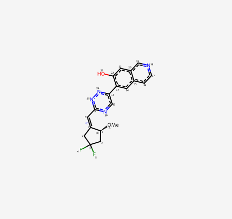 CO[C@H]1CC(F)(F)C/C1=C/c1ncc(-c2cc3ccncc3cc2O)nn1